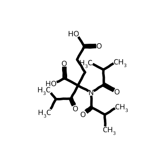 CC(C)C(=O)N(C(=O)C(C)C)C(CCC(=O)O)(C(=O)O)C(=O)C(C)C